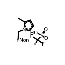 CCCCCCCCCCn1cccc1C.O=S(=O)(O)C(F)(F)F